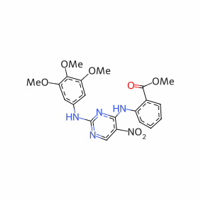 COC(=O)c1ccccc1Nc1nc(Nc2cc(OC)c(OC)c(OC)c2)ncc1[N+](=O)[O-]